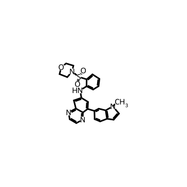 Cn1ccc2ccc(-c3cc(Nc4ccccc4S(=O)(=O)N4CCOCC4)cc4nccnc34)cc21